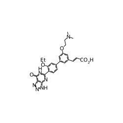 CCOc1cc(-c2cc(/C=C/C(=O)O)cc(OCCN(C)C)c2)ccc1-c1nc2[nH]nnc2c(=O)[nH]1